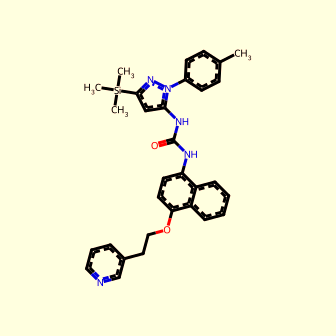 Cc1ccc(-n2nc([Si](C)(C)C)cc2NC(=O)Nc2ccc(OCCc3cccnc3)c3ccccc23)cc1